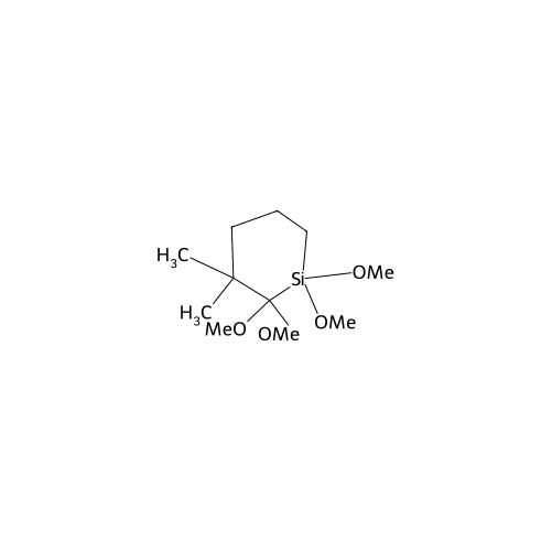 COC1(OC)C(C)(C)CCC[Si]1(OC)OC